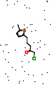 Cc1ccc(CCCC(=O)CCl)s1